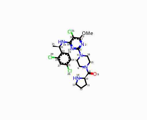 COc1nc(N2CCN(C(=O)[C@H]3CCCN3)CC2)nc(N[C@H](C)c2ccc(Cl)cc2Cl)c1Cl